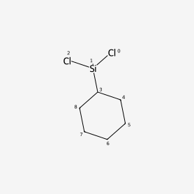 Cl[Si](Cl)C1CCCCC1